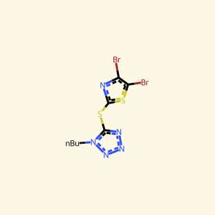 CCCCn1nnnc1Sc1nc(Br)c(Br)s1